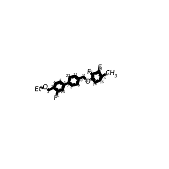 CCOCc1ccc(-c2ccc(COc3ccc(C)c(F)c3F)cc2)cc1F